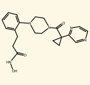 O=C(CCc1ccccc1N1CCN(C(=O)C2(c3cnccn3)CC2)CC1)NO